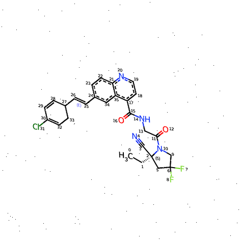 CC[C@@]1(C#N)CC(F)(F)CN1C(=O)CNC(=O)c1ccnc2ccc(/C=C/C3C=CC(Cl)=CC3)cc12